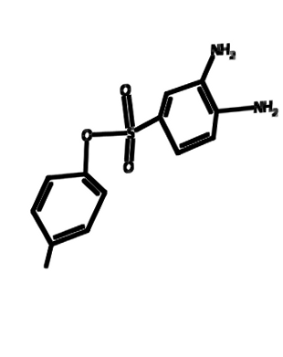 Cc1ccc(OS(=O)(=O)c2ccc(N)c(N)c2)cc1